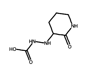 O=C(O)NNC1CCCNC1=O